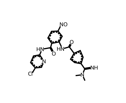 CN(C)C(=N)c1ccc(C(=O)Nc2cc(N=O)ccc2C(=O)Nc2ccc(Cl)cn2)cc1